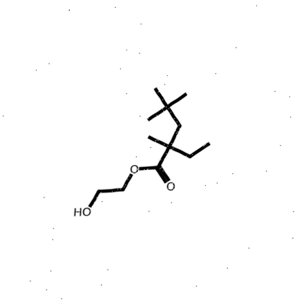 CCC(C)(CC(C)(C)C)C(=O)OCCO